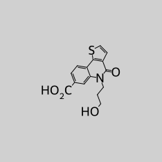 O=C(O)c1ccc2c3sccc3c(=O)n(CCCO)c2c1